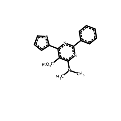 CCOC(=O)c1c(-c2cccs2)nc(-c2ccccc2)nc1N(C)C